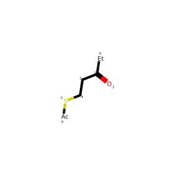 CCC(=O)CCSC(C)=O